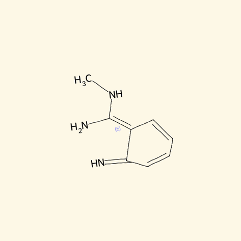 CN/C(N)=C1\C=CC=CC1=N